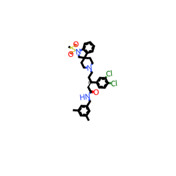 Cc1cc(C)cc(CNC(=O)C[C@@H](CCN2CCC3(CC2)CN(S(C)(=O)=O)c2ccccc23)c2ccc(Cl)c(Cl)c2)c1